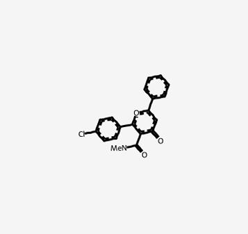 CNC(=O)c1c(-c2ccc(Cl)cc2)oc(-c2ccccc2)cc1=O